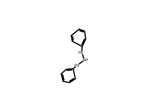 c1cc[c]([Hg][NH][Hg][c]2ccccc2)cc1